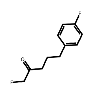 O=C(CF)CCCc1ccc(F)cc1